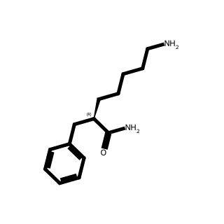 NCCCCC[C@H](Cc1ccccc1)C(N)=O